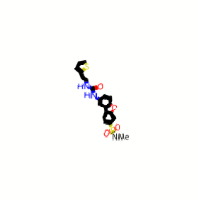 CNS(=O)(=O)c1ccc2c(c1)oc1ccc(NC(=O)NCCc3cccs3)cc12